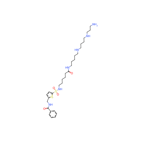 NCCCNCCCCNCCCCCNC(=O)CCCCCNS(=O)(=O)c1ccc(CNC(=O)c2ccccc2)s1